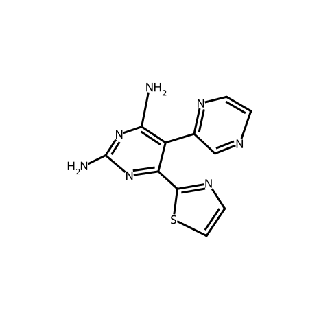 Nc1nc(N)c(-c2cnccn2)c(-c2nccs2)n1